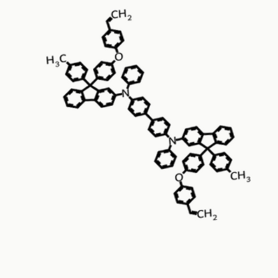 C=Cc1ccc(Oc2ccc(C3(c4ccc(C)cc4)c4ccccc4-c4ccc(N(c5ccccc5)c5ccc(-c6ccc(N(c7ccccc7)c7ccc8c(c7)C(c7ccc(C)cc7)(c7ccc(Oc9ccc(C=C)cc9)cc7)c7ccccc7-8)cc6)cc5)cc43)cc2)cc1